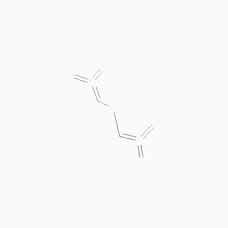 O=S(=O)=COC=S(=O)=O